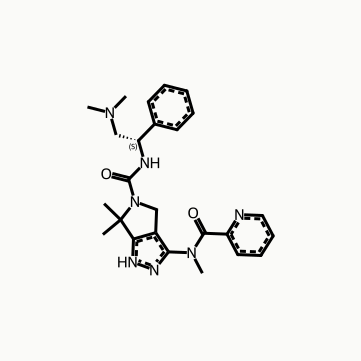 CN(C)C[C@@H](NC(=O)N1Cc2c(N(C)C(=O)c3ccccn3)n[nH]c2C1(C)C)c1ccccc1